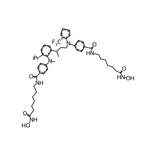 CC(C)c1cccc(C(C)CCN(c2ccc(C(=O)NCCCCCCC(=O)NO)cc2)c2ccccc2C(F)(F)F)c1N(C)c1ccc(C(=O)NCCCCCCC(=O)NO)cc1